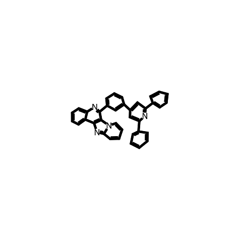 c1ccc(-c2cc(-c3cccc(-c4nc5ccccc5c5nc6ccccn6c45)c3)cc(-c3ccccc3)n2)cc1